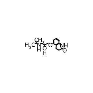 CC(C)NCC(O)COc1cccc2c1CCC(=O)N2